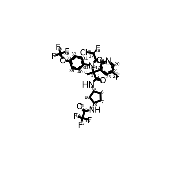 CC(C(=O)N[C@@H]1CC[C@H](NC(=O)C(F)(F)F)C1)(c1cncc(F)c1)N(C(=O)[C@H](F)Cl)c1ccc(OC(F)(F)F)cc1